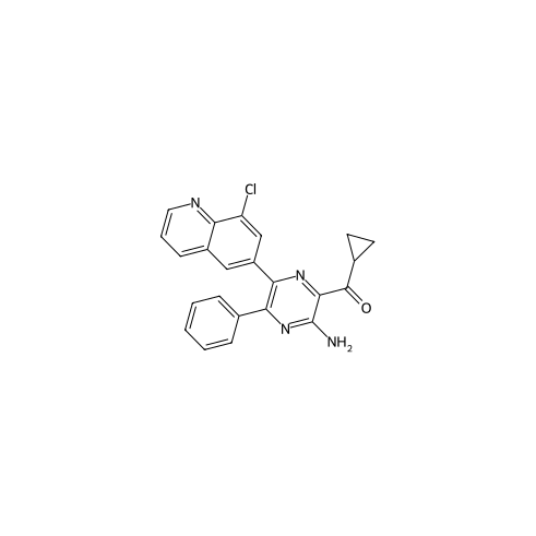 Nc1nc(-c2ccccc2)c(-c2cc(Cl)c3ncccc3c2)nc1C(=O)C1CC1